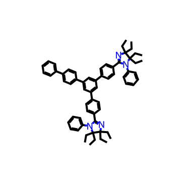 CCC1(CC)N=C(c2ccc(-c3cc(-c4ccc(C5=NC(CC)(CC)C(CC)(CC)N5c5ccccc5)cc4)cc(-c4ccc(-c5ccccc5)cc4)c3)cc2)N(c2ccccc2)C1(CC)CC